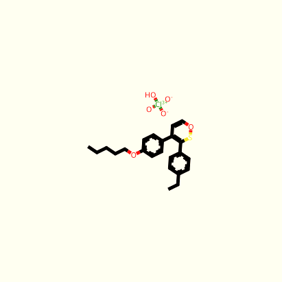 CCCCCOc1ccc(C2=C(c3ccc(CC)cc3)SOC=C2)cc1.[O-][Cl+3]([O-])([O-])O